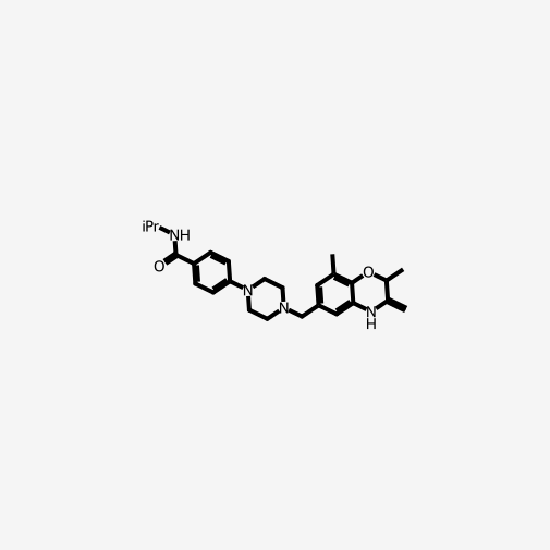 C=C1Nc2cc(CN3CCN(c4ccc(C(=O)NC(C)C)cc4)CC3)cc(C)c2OC1C